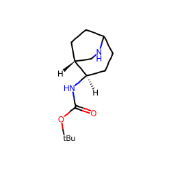 CC(C)(C)OC(=O)N[C@@H]1CCC2CC[C@@H]1CN2